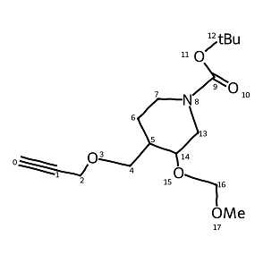 C#CCOCC1CCN(C(=O)OC(C)(C)C)CC1OCOC